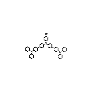 Brc1ccc(N(c2ccc(-c3ccc(N(c4ccccc4)c4ccccc4)cc3)cc2)c2ccc(-c3ccc(N(c4ccccc4)c4ccccc4)cc3)cc2)cc1